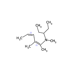 C/C=C\C(C)=C(\C)N(C)C(CC)CC